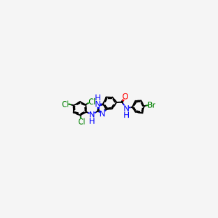 O=C(Nc1ccc(Br)cc1)c1ccc2[nH]c(Nc3c(Cl)cc(Cl)cc3Cl)nc2c1